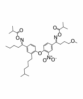 CCCC/C(=N\OC(=O)C(C)C)c1ccc(Oc2ccc(/C(CCCOC)=N/OC(=O)C(C)C)cc2[N+](=O)[O-])c(CCCCC(C)C)c1